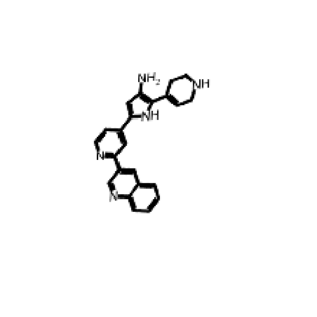 Nc1cc(-c2ccnc(-c3cnc4ccccc4c3)c2)[nH]c1C1=CCNCC1